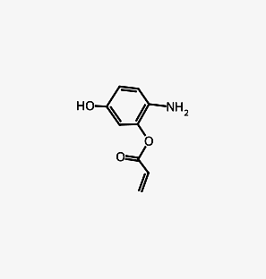 C=CC(=O)Oc1cc(O)ccc1N